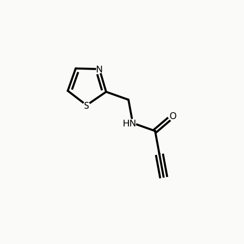 C#CC(=O)NCc1nccs1